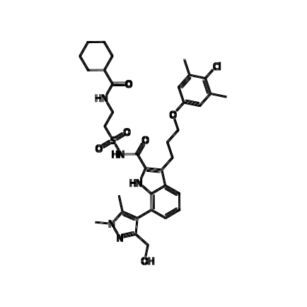 Cc1cc(OCCCc2c(C(=O)NS(=O)(=O)CCNC(=O)C3CCCCC3)[nH]c3c(-c4c(CO)nn(C)c4C)cccc23)cc(C)c1Cl